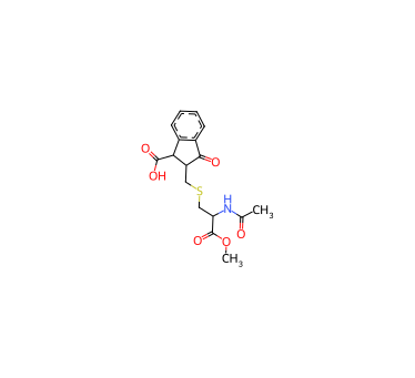 COC(=O)C(CSCC1C(=O)c2ccccc2C1C(=O)O)NC(C)=O